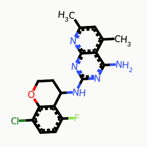 Cc1cc(C)c2c(N)nc(NC3CCOc4c(Cl)ccc(F)c43)nc2n1